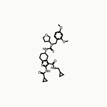 COc1ccc(CN(C(=S)N[C@@H]2CCc3sc(NC(=O)C4CC4)c(C(=O)NCC4CC4)c3C2)C2CCOC2)c(OC)c1